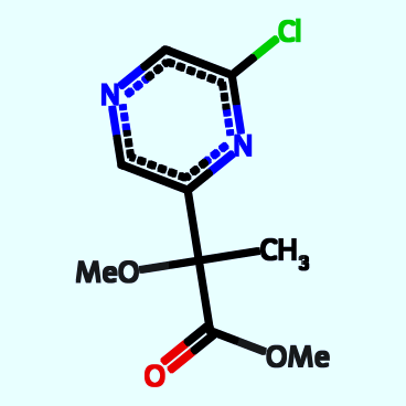 COC(=O)C(C)(OC)c1cncc(Cl)n1